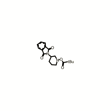 CC(C)(C)C(=O)ON1CCCC(N2C(=O)c3ccccc3C2=O)C1